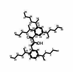 CCCCC(C)c1ccc(C(C)CCCC)c(C=C(O)C(=O)c2cc(C(C)CCCC)cc(C(C)CCCC)c2C(C)CCCC)c1